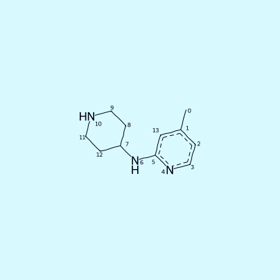 Cc1ccnc(NC2CCNCC2)c1